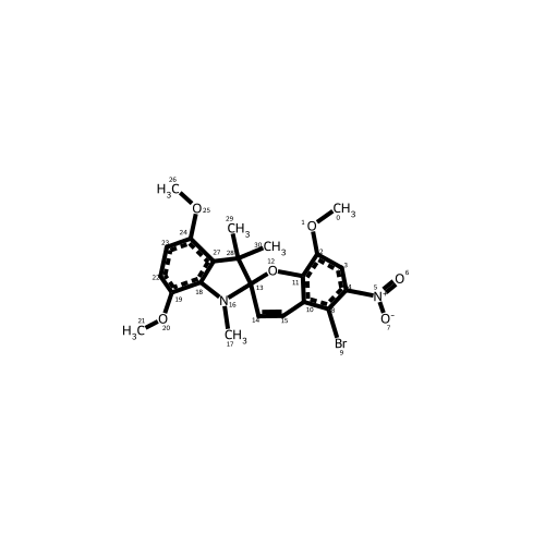 COc1cc([N+](=O)[O-])c(Br)c2c1OC1(C=C2)N(C)c2c(OC)ccc(OC)c2C1(C)C